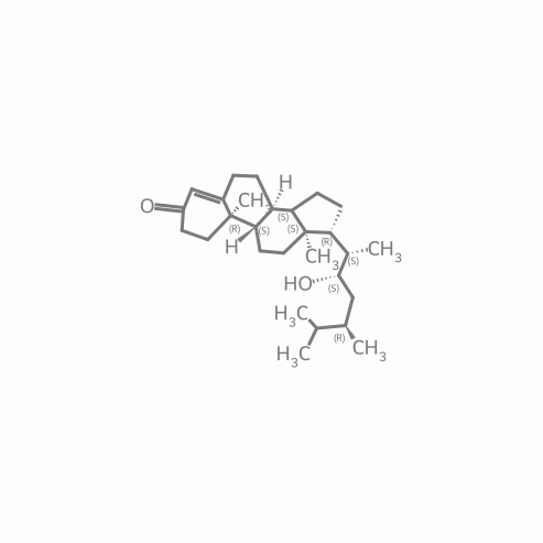 CC(C)[C@H](C)C[C@H](O)[C@@H](C)[C@H]1CCC2[C@@H]3CCC4=CC(=O)CC[C@]4(C)[C@H]3CC[C@@]21C